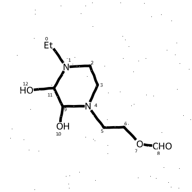 CCN1CCN(CCOC=O)C(O)C1O